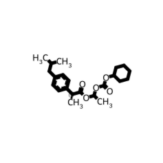 CC(C)Cc1ccc([C@H](C)C(=O)OC(C)OC(=O)OC2CCCCC2)cc1